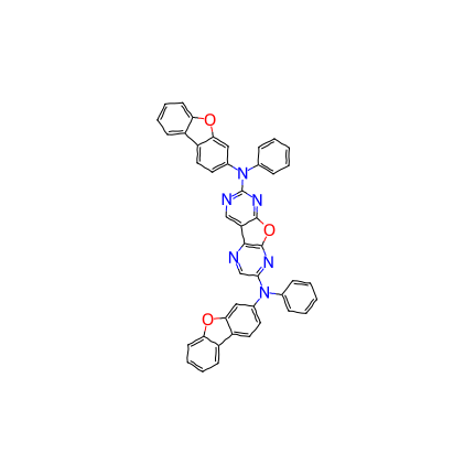 c1ccc(N(c2ccc3c(c2)oc2ccccc23)c2cnc3c(n2)oc2nc(N(c4ccccc4)c4ccc5c(c4)oc4ccccc45)ncc23)cc1